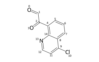 O=CC(=O)c1cccc2c(Cl)ccnc12